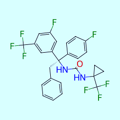 O=C(NC1(C(F)(F)F)CC1)N[C@](Cc1ccccc1)(c1ccc(F)cc1)c1cc(F)cc(C(F)(F)F)c1